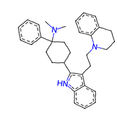 CN(C)C1(c2ccccc2)CCC(c2[nH]c3ccccc3c2CCN2CCCc3ccccc32)CC1